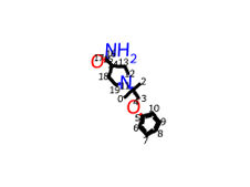 CC(C)(COc1ccccc1)N1CCC(C(N)=O)CC1